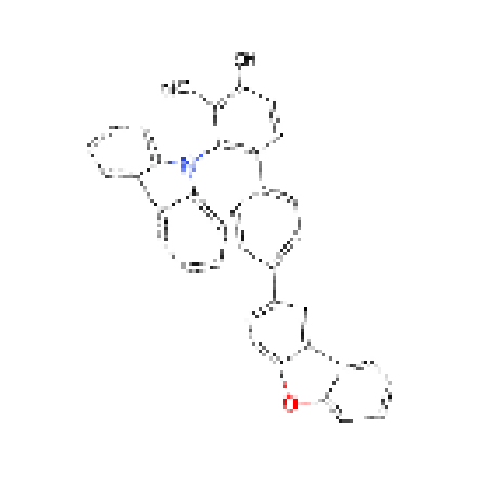 N#Cc1ccc(-c2ccc(-c3ccc4oc5ccccc5c4c3)cc2)c(-n2c3ccccc3c3ccccc32)c1C#N